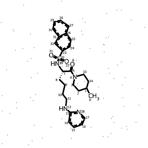 CC1CCN(C(=O)[C@H](CCCCNc2ccccn2)NS(=O)(=O)c2ccc3ccccc3c2)CC1